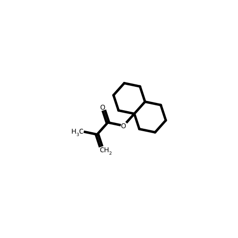 C=C(C)C(=O)OC12CCCCC1CCCC2